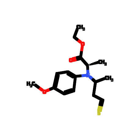 CCOC(=O)[C@H](C)N(c1ccc(OC)cc1)C(C)CC=S